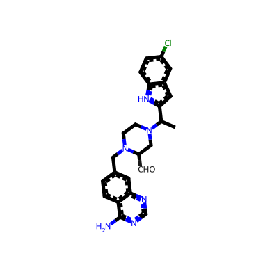 CC(c1cc2cc(Cl)ccc2[nH]1)N1CCN(Cc2ccc3c(N)ncnc3c2)C(C=O)C1